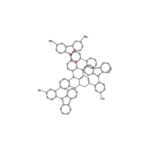 CC(C)(C)c1ccc2c(c1)c1cc(C(C)(C)C)ccc1n2-c1ccc2c(c1)N(c1ccccc1-c1ccccc1)C1=C3B2c2ccc(-c4cc(C#N)ccc4-n4c5ccccc5c5ccccc54)cc2OC3CC(c2cc(C#N)ccc2-n2c3c#cccc3c3ccccc32)=C1